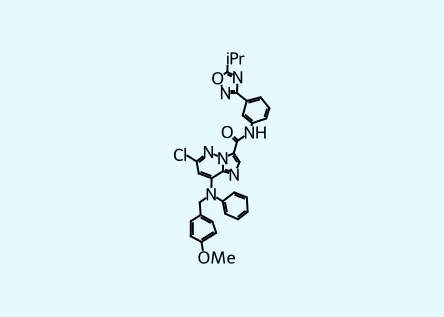 COc1ccc(CN(c2ccccc2)c2cc(Cl)nn3c(C(=O)Nc4cccc(-c5noc(C(C)C)n5)c4)cnc23)cc1